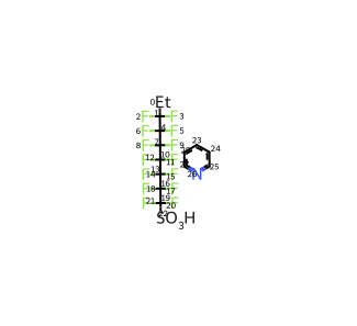 CCC(F)(F)C(F)(F)C(F)(F)C(F)(F)C(F)(F)C(F)(F)C(F)(F)S(=O)(=O)O.c1ccncc1